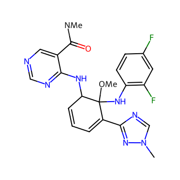 CNC(=O)c1cncnc1NC1C=CC=C(c2ncn(C)n2)C1(Nc1ccc(F)cc1F)OC